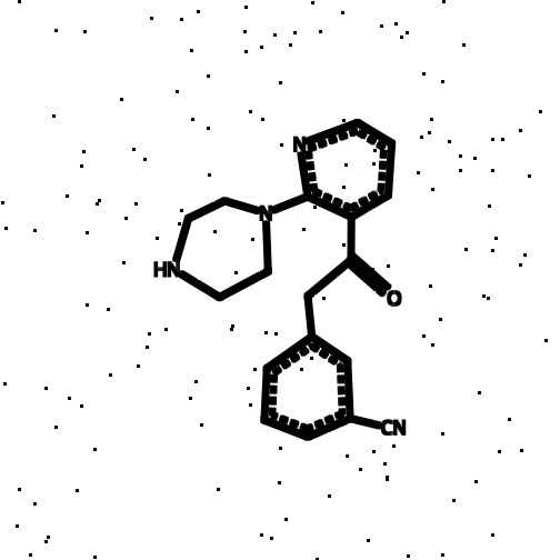 N#Cc1cccc(CC(=O)c2cccnc2N2CCNCC2)c1